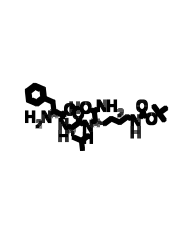 CC(C)C[C@H](NC(=O)[C@@H](N)Cc1ccccc1)C(=O)N[C@@H](CCCCNC(=O)OC(C)(C)C)C(N)O